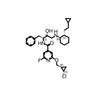 O=C(N[C@@H](Cc1ccccc1)[C@H](O)CN[C@@H]1CCCC[C@H]1CCC1CC1)c1cc(F)nc(OC[C@H]2C[C@@H]2Cl)c1